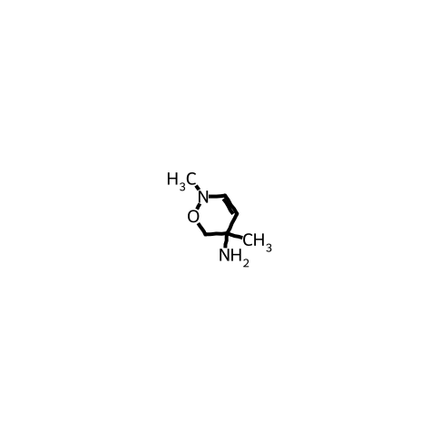 CN1C=CC(C)(N)CO1